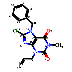 C=CCn1c(=O)n(C)c(=O)c2c1nc(Cl)n2Cc1ccccc1